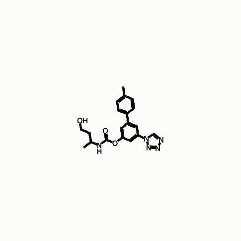 Cc1ccc(-c2cc(OC(=O)NC(C)CCO)cc(-n3cnnn3)c2)cc1